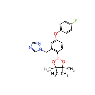 CC1(C)OB(c2ccc(Oc3ccc(F)cc3)cc2Cn2cncn2)OC1(C)C